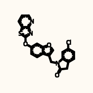 O=C1Cc2ccc(Cl)cc2N1Cc1coc2cc(Oc3nc4ncccc4s3)ccc12